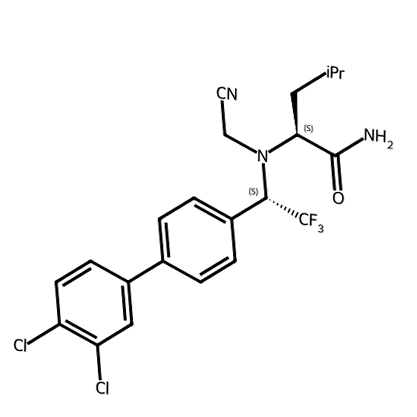 CC(C)C[C@@H](C(N)=O)N(CC#N)[C@@H](c1ccc(-c2ccc(Cl)c(Cl)c2)cc1)C(F)(F)F